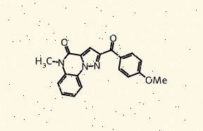 COc1ccc(C(=O)c2cc3c(=O)n(C)c4ccccc4n3n2)cc1